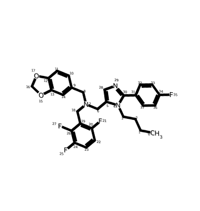 CCCCn1c(CN(Cc2ccc3c(c2)OCO3)Cc2c(F)ccc(F)c2F)cnc1-c1ccc(F)cc1